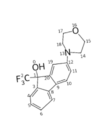 OC1(C(F)(F)F)c2ccccc2-c2ccc(N3CCOCC3)cc21